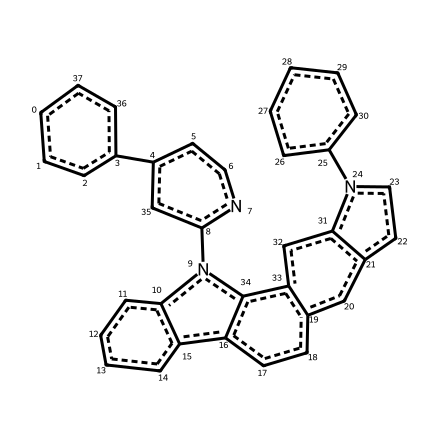 c1ccc(-c2ccnc(-n3c4ccccc4c4ccc5cc6ccn(-c7ccccc7)c6cc5c43)c2)cc1